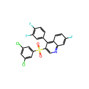 O=S(=O)(c1cc(Cl)cc(Cl)c1)c1cnc2cc(F)ccc2c1-c1ccc(F)c(F)c1